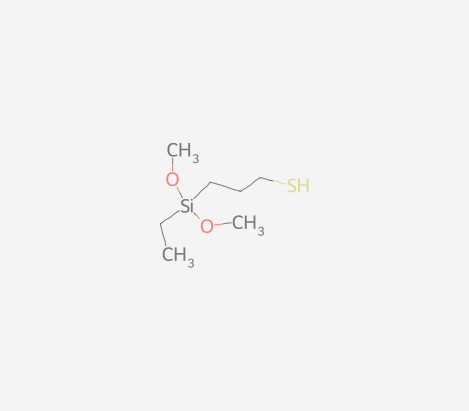 CC[Si](CCCS)(OC)OC